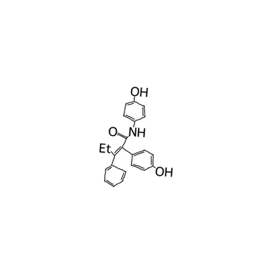 CC/C(=C(\C(=O)Nc1ccc(O)cc1)c1ccc(O)cc1)c1ccccc1